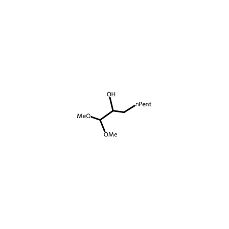 CCCCCCC(O)C(OC)OC